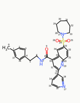 Cc1ccc(CCNC(=O)c2cc(-c3cccnc3)nc3ccc(S(=O)(=O)N4CCCCCC4)cc23)cc1